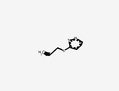 C=CCSc1ccns1